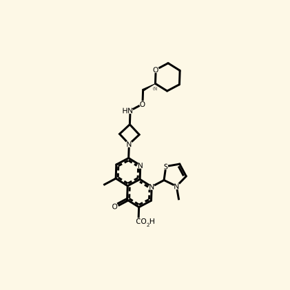 Cc1cc(N2CC(NOC[C@@H]3CCCCO3)C2)nc2c1c(=O)c(C(=O)O)cn2C1SC=CN1C